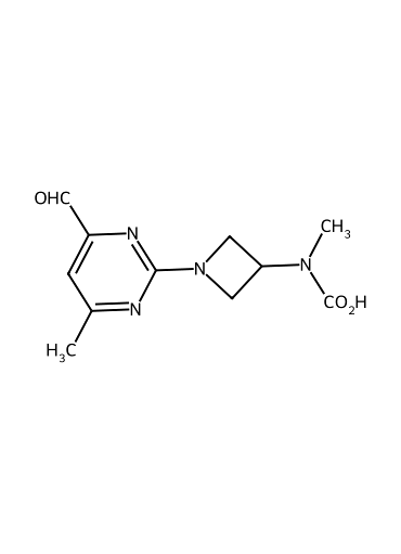 Cc1cc(C=O)nc(N2CC(N(C)C(=O)O)C2)n1